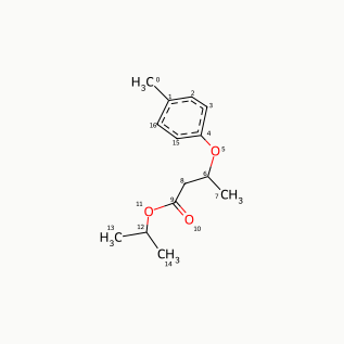 Cc1ccc(OC(C)CC(=O)OC(C)C)cc1